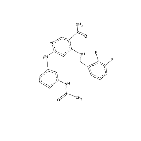 CC(=O)Nc1cccc(Nc2cc(NCc3cccc(F)c3F)c(C(N)=O)cn2)c1